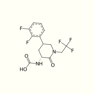 O=C(O)N[C@@H]1CC(c2cccc(F)c2F)CN(CC(F)(F)F)C1=O